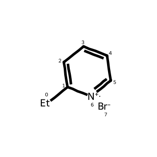 CCC1=CC=CC=[N+]1.[Br-]